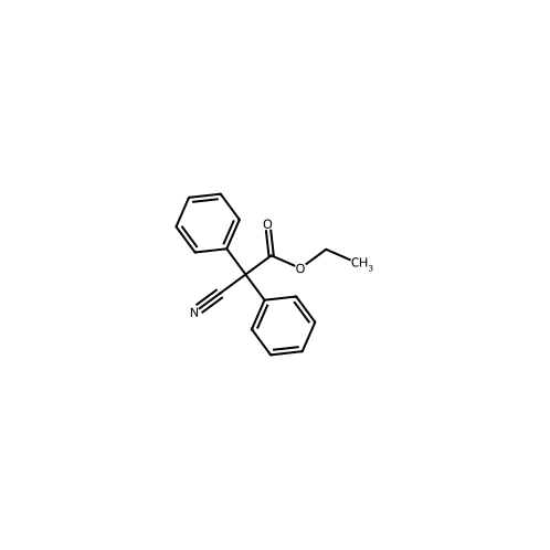 CCOC(=O)C(C#N)(c1ccccc1)c1ccccc1